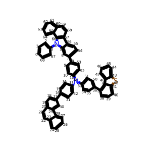 c1ccc(-n2c3cc(-c4ccc(N(c5ccc(-c6ccc7ccc8ccccc8c7c6)cc5)c5ccc(-c6cccc7sc8ccccc8c67)cc5)cc4)ccc3c3ccc4ccccc4c32)cc1